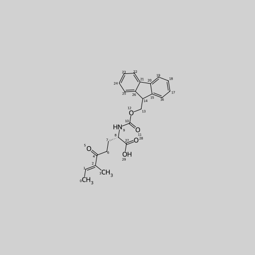 C/C=C(\C)C(=O)CC[C@H](NC(=O)OCC1c2ccccc2-c2ccccc21)C(=O)O